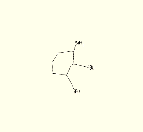 CCC(C)C1CCCC([SiH3])C1C(C)CC